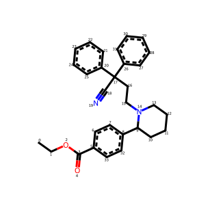 CCOC(=O)c1ccc(C2CCCCN2CCC(C#N)(c2ccccc2)c2ccccc2)cc1